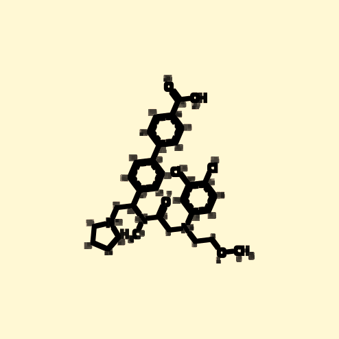 COCCN(CC(=O)N(C)C(CN1CCCC1)c1ccc(-c2ccc(C(=O)O)cc2)cc1)c1ccc(Cl)c(Cl)c1